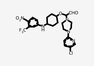 O=CC(OC1CCC(Nc2ccc([N+](=O)[O-])c(C(F)(F)F)c2)CC1)N1CCN(c2ccc(Cl)cn2)CC1